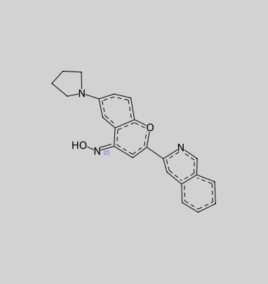 O/N=c1/cc(-c2cc3ccccc3cn2)oc2ccc(N3CCCC3)cc12